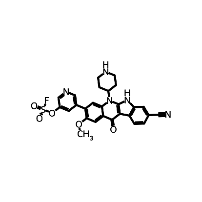 COc1cc2c(=O)c3c4ccc(C#N)cc4[nH]c3n(C3CCNCC3)c2cc1-c1cncc(OS(=O)(=O)F)c1